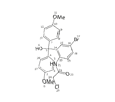 COc1ccc(C(O)(c2ccc(OC)cc2)c2cc(Br)ccc2NC(=O)CCl)cc1